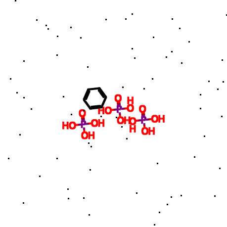 O=P(O)(O)O.O=P(O)(O)O.O=P(O)(O)O.c1ccccc1